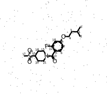 CC(C)CCOc1ccc(C(=O)N2CCC(S(C)(=O)=O)CC2)c(F)c1